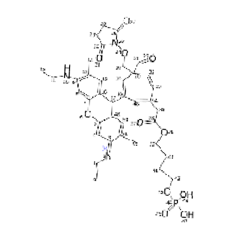 CC/N=c1\cc2oc3cc(NCC)c(C)cc3c(C3=CC(C=O)(CON4C(=O)CCC4=O)C=CC(CC(=O)OCCCCOP(=O)(O)O)=C3)c-2cc1C